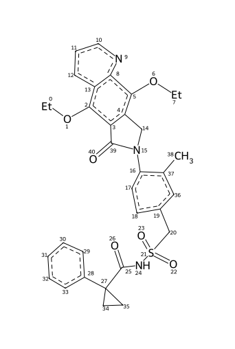 CCOc1c2c(c(OCC)c3ncccc13)CN(c1ccc(CS(=O)(=O)NC(=O)C3(c4ccccc4)CC3)cc1C)C2=O